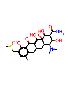 CN(C)C1C(O)C(C(N)=O)C(=O)C2(O)C(O)=C3C(=O)c4c(O)c(C[S+](C)[O-])cc(I)c4CC3CC12